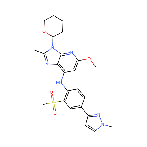 COc1cc(Nc2ccc(-c3ccn(C)n3)cc2S(C)(=O)=O)c2nc(C)n(C3CCCCO3)c2n1